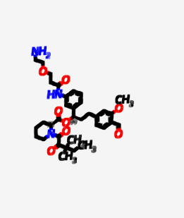 CCC(C)(C)C(=O)C(=O)N1CCCC[C@H]1C(=O)O[C@H](CCc1ccc(C=O)c(OC)c1)c1cccc(NC(=O)CCOCCN)c1